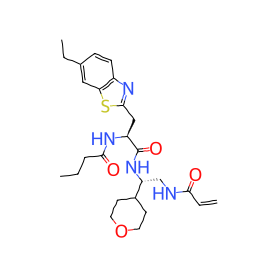 C=CC(=O)NC[C@@H](NC(=O)[C@H](Cc1nc2ccc(CC)cc2s1)NC(=O)CCC)C1CCOCC1